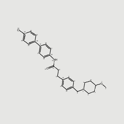 COC1CCN(Cc2ccc(CCC(=O)Nc3ccc(-c4ccc(Cl)cc4)cc3)cc2)CC1